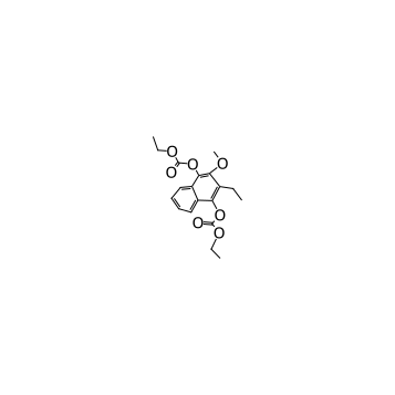 CCOC(=O)Oc1c(CC)c(OC)c(OC(=O)OCC)c2ccccc12